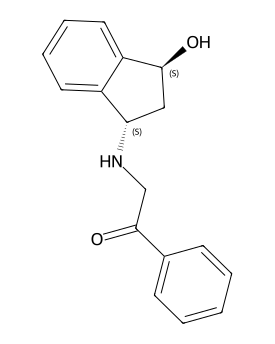 O=C(CN[C@H]1C[C@H](O)c2ccccc21)c1ccccc1